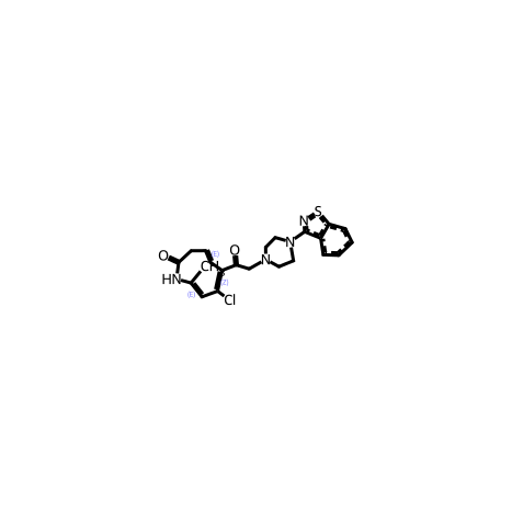 C\C1=C/C(Cl)=C(C(=O)CN2CCN(c3nsc4ccccc34)CC2)\C=C\CC(=O)N1